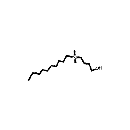 CCCCCCCCCC[Si](C)(C)CCCCO